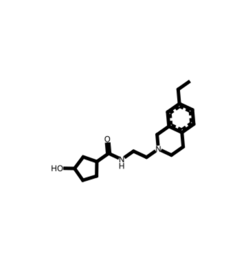 CCc1ccc2c(c1)CN(CCNC(=O)C1CCC(O)C1)CC2